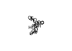 CCC(NC(=O)C(CC(=O)N1CCOCC1)CS(=O)(=O)Cc1ccccc1)C(O)c1nnc(COC)o1